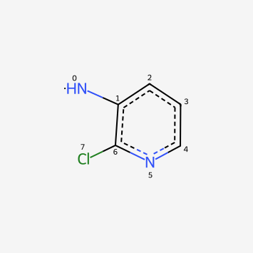 [NH]c1cccnc1Cl